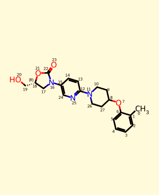 Cc1ccccc1OC1CCN(c2ccc(N3C[C@H](CO)OC3=O)cn2)CC1